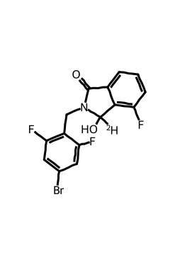 [2H]C1(O)c2c(F)cccc2C(=O)N1Cc1c(F)cc(Br)cc1F